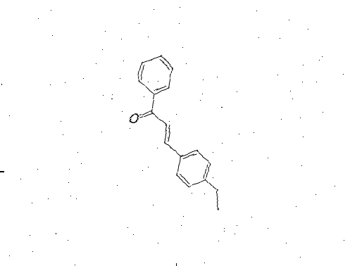 CCc1ccc(C=CC(=O)c2ccccc2)cc1